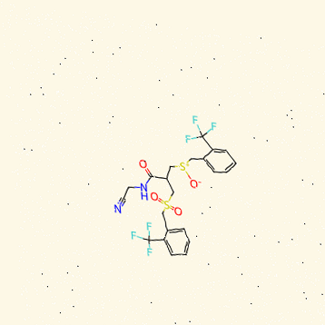 N#CCNC(=O)C(C[S+]([O-])Cc1ccccc1C(F)(F)F)CS(=O)(=O)Cc1ccccc1C(F)(F)F